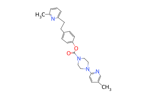 Cc1ccc(N2CCN(C(=O)Oc3ccc(CCc4cccc(C)n4)cc3)CC2)nc1